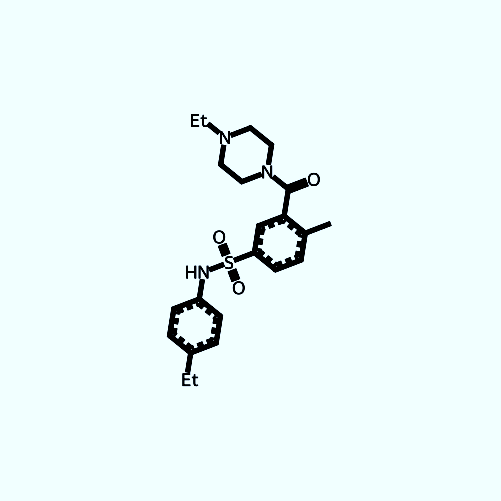 CCc1ccc(NS(=O)(=O)c2ccc(C)c(C(=O)N3CCN(CC)CC3)c2)cc1